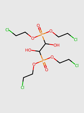 O=P(OCCCl)(OCCCl)C(O)C(O)P(=O)(OCCCl)OCCCl